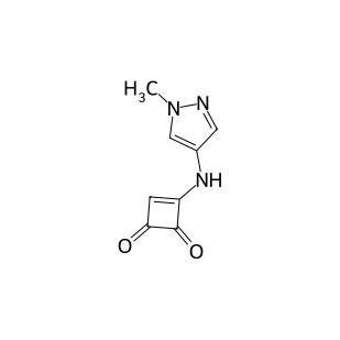 Cn1cc(Nc2cc(=O)c2=O)cn1